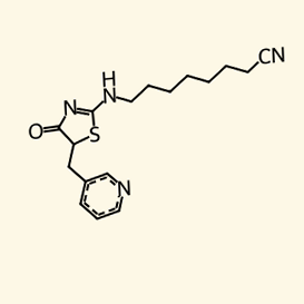 N#CCCCCCCCNC1=NC(=O)C(Cc2cccnc2)S1